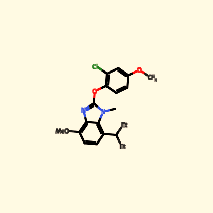 CCC(CC)c1ccc(OC)c2nc(Oc3ccc(OC(F)(F)F)cc3Cl)n(C)c12